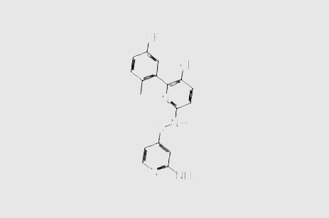 Cc1ccc(C(F)(F)F)cc1-c1nc(NSc2ccnc(N)c2)ccc1Cl